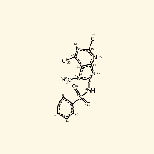 Cn1c(NS(=O)(=O)c2ccccc2)nc2nc(Cl)nc(Cl)c21